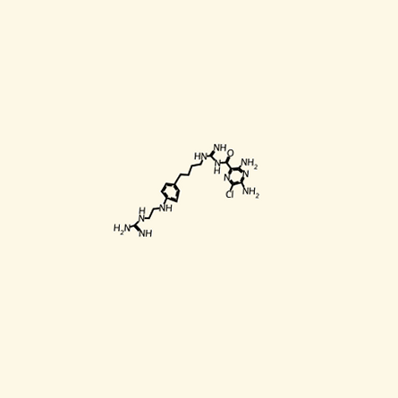 N=C(N)NCCNc1ccc(CCCCNC(=N)NC(=O)c2nc(Cl)c(N)nc2N)cc1